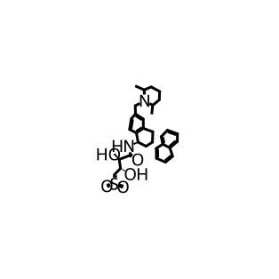 CC1CCCC(C)N1Cc1ccc2c(c1)CCC[C@H]2NC(=O)[C@H](O)[C@H](O)C=S(=O)=O.c1ccc2ccccc2c1